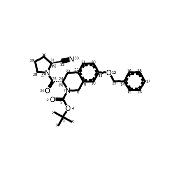 CC(C)(C)OC(=O)N1Cc2cc(OCc3ccccc3)ccc2C[C@H]1C(=O)N1CCC[C@H]1C#N